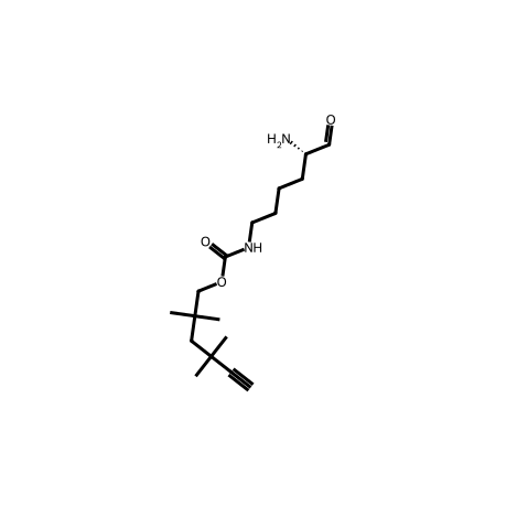 C#CC(C)(C)CC(C)(C)COC(=O)NCCCC[C@H](N)C=O